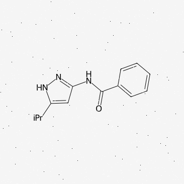 CC(C)c1cc(NC(=O)c2ccccc2)n[nH]1